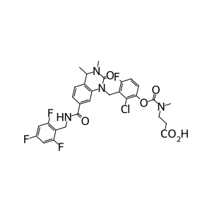 CC1c2ccc(C(=O)NCc3c(F)cc(F)cc3F)cc2N(Cc2c(F)ccc(OC(=O)N(C)CCC(=O)O)c2Cl)C(=O)N1C